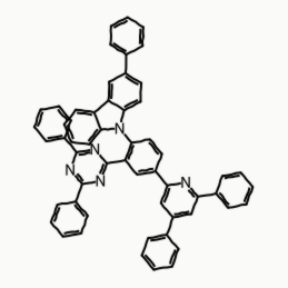 c1ccc(-c2cc(-c3ccccc3)nc(-c3ccc(-n4c5ccccc5c5cc(-c6ccccc6)ccc54)c(-c4nc(-c5ccccc5)nc(-c5ccccc5)n4)c3)c2)cc1